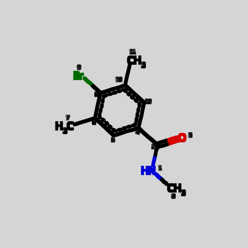 CNC(=O)c1cc(C)c(Br)c(C)c1